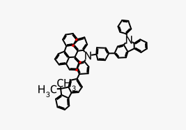 CC1(C)c2ccccc2-c2ccc(-c3ccc(N(c4ccc(-c5ccc6c7ccccc7n(-c7ccccc7)c6c5)cc4)c4ccccc4-c4cccc5cccc(-c6ccccc6)c45)cc3)cc21